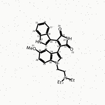 CCN(CC)CCn1cc(C2=C(c3c[nH]c4ccccc34)C(=O)NC2=O)c2cc(OC)ccc21